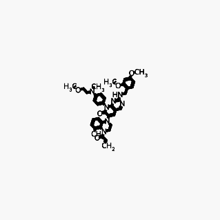 C=CC(=O)N1CCN(c2cc3cnc(NCc4ccc(OC)cc4OC)nc3n(-c3ccc(N(C)CCOC)cc3)c2=O)c2cccc(C)c21